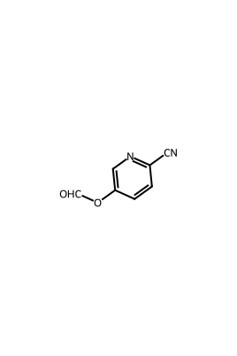 N#Cc1ccc(OC=O)cn1